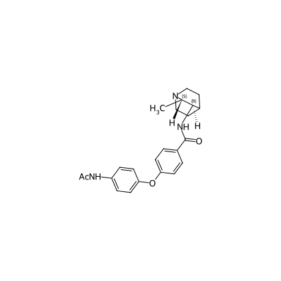 CC(=O)Nc1ccc(Oc2ccc(C(=O)N[C@@H]3C4CCN(CC4)[C@H]3C)cc2)cc1